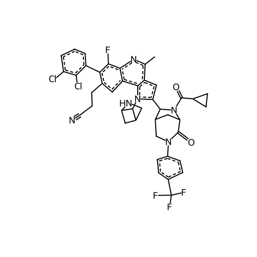 Cc1nc2c(F)c(-c3cccc(Cl)c3Cl)c(CCC#N)cc2c2c1cc(C1C3CC(C(=O)N(c4ccc(C(F)(F)F)cc4)C3)N1C(=O)C1CC1)n2C1C2CNC1C2